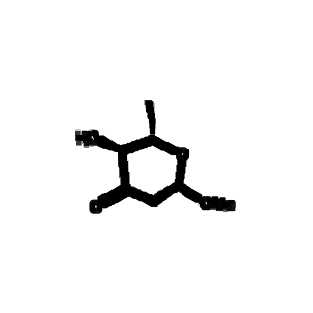 COC1CC(=O)[C@@H](O)[C@H](C)O1